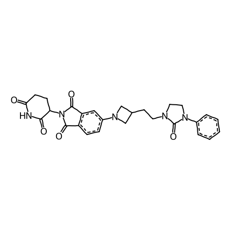 O=C1CCC(N2C(=O)c3ccc(N4CC(CCN5CCN(c6ccccc6)C5=O)C4)cc3C2=O)C(=O)N1